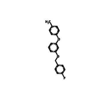 Cc1ccc(Oc2cccc(OCc3ccc(F)cc3)c2)cc1